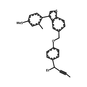 CC#CC(CC)c1ccc(OCc2ccc3scc(-c4ccc(SC)cc4C)c3c2)cc1